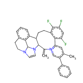 C=C1C2C(CCc3c(F)c(F)cc(F)c3-c3cc(C)c(-c4ccccc4)c[n+]31)c1cccc3c1C1N(C=CN21)CC3